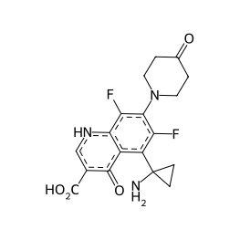 NC1(c2c(F)c(N3CCC(=O)CC3)c(F)c3[nH]cc(C(=O)O)c(=O)c23)CC1